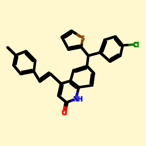 Cc1ccc(C=Cc2cc(=O)[nH]c3ccc(C(c4ccc(Cl)cc4)c4cccs4)cc23)cc1